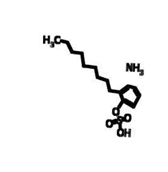 CCCCCCCCCc1ccccc1OS(=O)(=O)O.N